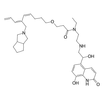 C=C/C=C(\C=C/CCCOCCC(=O)N(CC)CCNCC(O)c1ccc(O)c2[nH]c(=O)ccc12)CN1CC2CCCC2C1